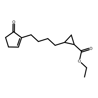 CCOC(=O)C1CC1CCCCC1=CCCC1=O